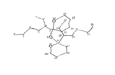 CCCCC(CC)C1(OC2(C(CC)CCCC)CCCCO2)CCCCO1